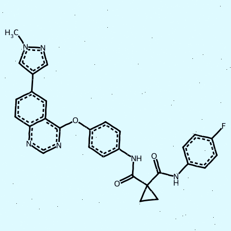 Cn1cc(-c2ccc3ncnc(Oc4ccc(NC(=O)C5(C(=O)Nc6ccc(F)cc6)CC5)cc4)c3c2)cn1